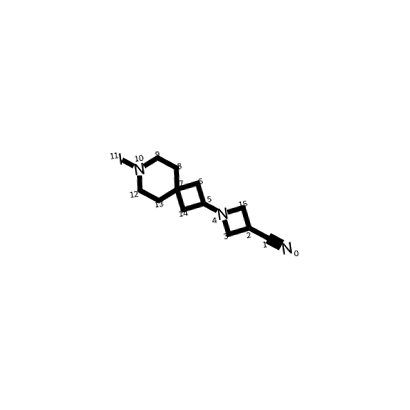 N#CC1CN(C2CC3(CCN(I)CC3)C2)C1